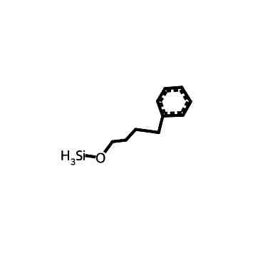 [SiH3]OCCCCc1ccccc1